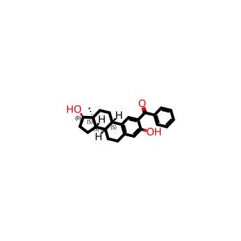 C[C@]12CC[C@@H]3c4cc(C(=O)c5ccccc5)c(O)cc4CC[C@H]3[C@@H]1CC[C@H]2O